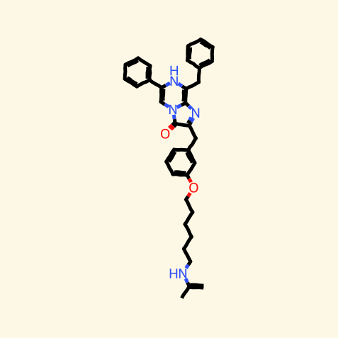 C=C(C)NCCCCCCOc1cccc(Cc2nc3c(Cc4ccccc4)[nH]c(-c4ccccc4)cn-3c2=O)c1